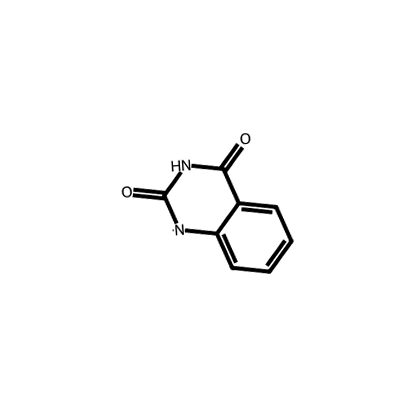 O=C1[N]c2ccccc2C(=O)N1